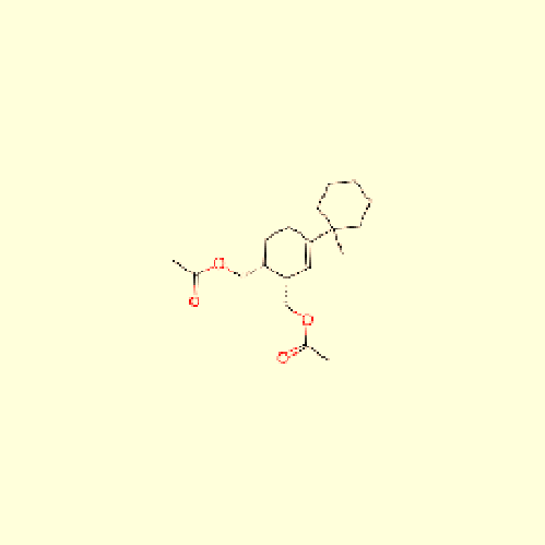 CC(=O)OC[C@@H]1CCC(C2(C)CCCCC2)=C[C@@H]1COC(C)=O